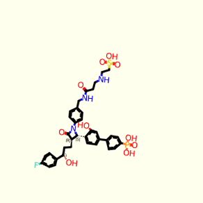 O=C(CCNCCS(=O)(=O)O)NCc1ccc(N2C(=O)[C@H](CC[C@H](O)c3ccc(F)cc3)[C@H]2c2ccc(-c3ccc(P(=O)(O)O)cc3)cc2O)cc1